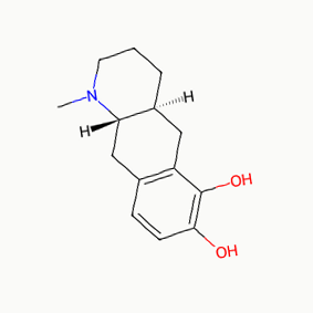 CN1CCC[C@H]2Cc3c(ccc(O)c3O)C[C@@H]21